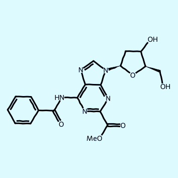 COC(=O)c1nc(NC(=O)c2ccccc2)c2ncn([C@H]3CC(O)[C@@H](CO)O3)c2n1